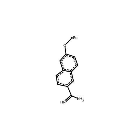 CCCCOc1ccc2cc(C(=N)N)ccc2c1